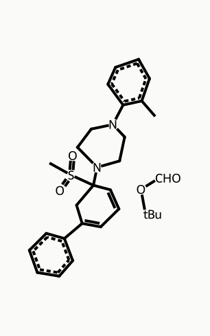 CC(C)(C)OC=O.Cc1ccccc1N1CCN(C2(S(C)(=O)=O)C=CC=C(c3ccccc3)C2)CC1